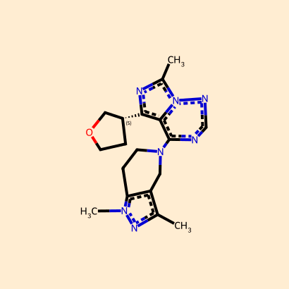 Cc1nn(C)c2c1CN(c1ncnn3c(C)nc([C@@H]4CCOC4)c13)CC2